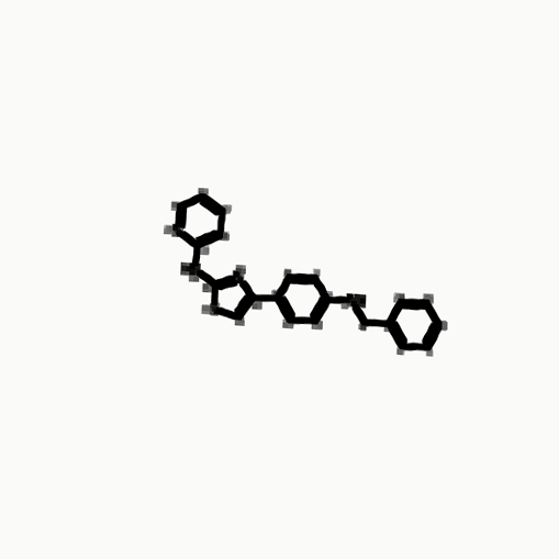 c1ccc(CNc2ccc(-c3csc(Nc4ccccn4)n3)cc2)cc1